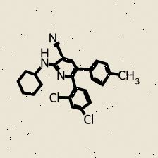 Cc1ccc(-c2cc(C#N)c(NC3CCCCC3)nc2-c2ccc(Cl)cc2Cl)cc1